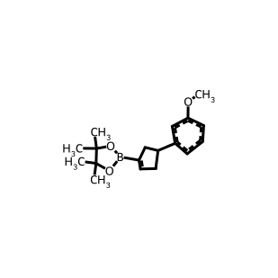 COc1cccc(C2CC=C(B3OC(C)(C)C(C)(C)O3)C2)c1